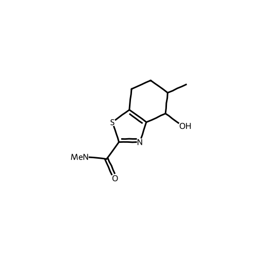 CNC(=O)c1nc2c(s1)CCC(C)C2O